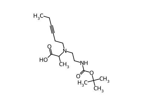 CCC#CCCN(CCNC(=O)OC(C)(C)C)C(C)C(=O)O